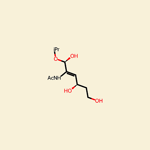 CC(=O)N/C(=C\[C@H](O)CCO)[C@H](O)OC(C)C